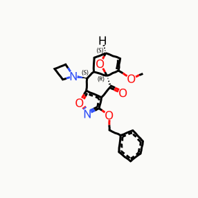 COC1=C[C@@H]2CC3[C@H](N4CCC4)c4onc(OCc5ccccc5)c4C(=O)[C@]13O2